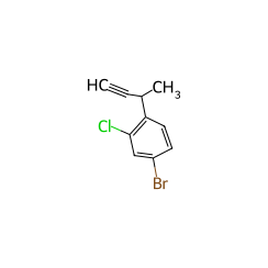 C#CC(C)c1ccc(Br)cc1Cl